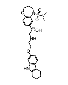 CN(C)S(=O)(=O)N1CCCOc2ccc([C@@H](O)CNCCOc3ccc4c5c([nH]c4c3)CCCC5)cc21